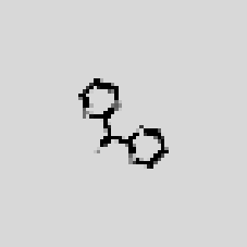 O=C(c1ncccn1)c1ncccn1